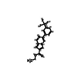 CCOC(=O)c1cn2cc(-c3cccc(C(F)(F)F)c3)ncc2n1